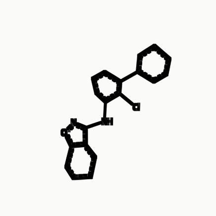 Clc1c(Nc2noc3ccccc23)cccc1-c1ccccc1